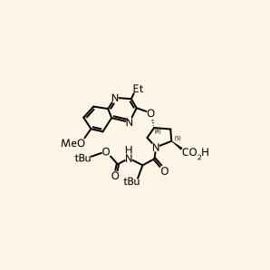 CCc1nc2ccc(OC)cc2nc1O[C@@H]1C[C@@H](C(=O)O)N(C(=O)C(NC(=O)OC(C)(C)C)C(C)(C)C)C1